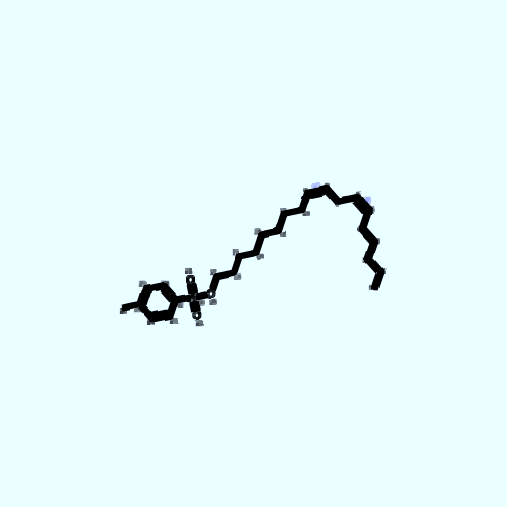 CCCCC/C=C\C/C=C\CCCCCCCCOS(=O)(=O)c1ccc(C)cc1